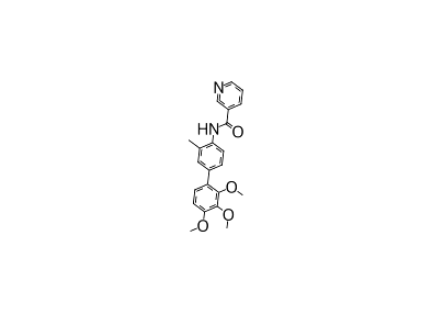 COc1ccc(-c2ccc(NC(=O)c3cccnc3)c(C)c2)c(OC)c1OC